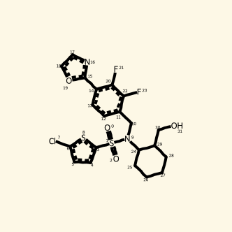 O=S(=O)(c1ccc(Cl)s1)N(Cc1ccc(-c2ncco2)c(F)c1F)C1CCCCC1CO